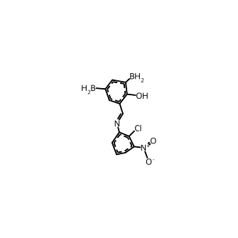 Bc1cc(B)c(O)c(/C=N/c2cccc([N+](=O)[O-])c2Cl)c1